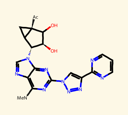 CNc1nc(-n2cc(-c3ncccn3)nn2)nc2c1ncn2[C@@H]1C2C[C@]2(C(C)=O)C(O)[C@H]1O